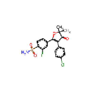 CC1(C)OC(c2ccc(S(N)(=O)=O)c(F)c2)=C(c2ccc(Cl)cc2)C1=O